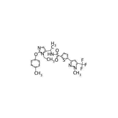 CCn1c(C(C)NS(=O)(=O)c2ccc(-c3cc(C(F)(F)F)n(C)n3)s2)cnc1Oc1ccc(C)cc1